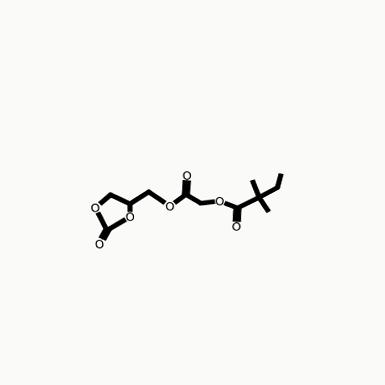 CCC(C)(C)C(=O)OCC(=O)OCC1COC(=O)O1